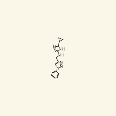 c1ccc(-n2cc(CNc3nnc(C4CC4)[nH]3)nn2)cc1